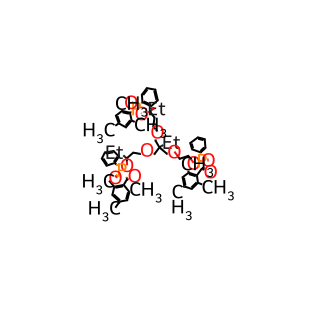 CCC(CCOCC(CC)(COCCOP(=O)(C(=O)c1c(C)cc(C)cc1C)c1ccccc1)COCCC(CC)OP(=O)(c1ccccc1)c1c(C)cc(C)cc1C)OP(=O)(C(=O)c1c(C)cc(C)cc1C)c1ccccc1